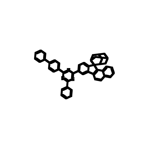 c1ccc(-c2ccc(-c3nc(-c4ccccc4)nc(-c4ccc5c(c4)-c4ccc6ccccc6c4C54C5CC6CC(C5)CC4C6)n3)cc2)cc1